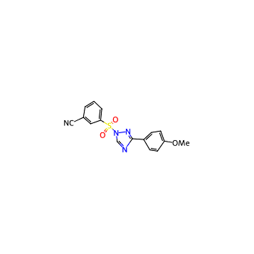 COc1ccc(-c2ncn(S(=O)(=O)c3cccc(C#N)c3)n2)cc1